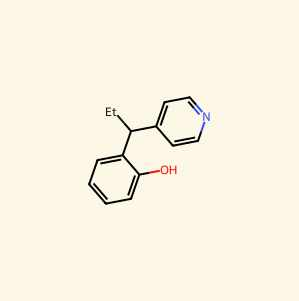 CCC(c1ccncc1)c1ccccc1O